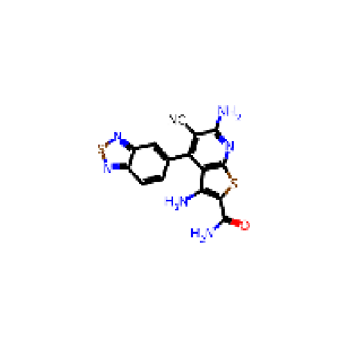 N#Cc1c(N)nc2sc(C(N)=O)c(N)c2c1-c1ccc2nsnc2c1